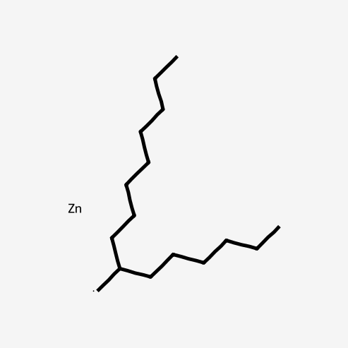 [CH2]C(CCCCCC)CCCCCCCC.[Zn]